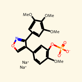 COc1ccc(-c2conc2-c2cc(OC)c(OC)c(OC)c2)cc1OP(=O)([O-])[O-].[Na+].[Na+]